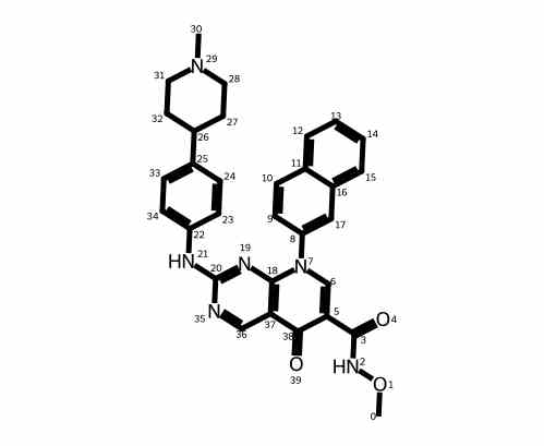 CONC(=O)c1cn(-c2ccc3ccccc3c2)c2nc(Nc3ccc(C4CCN(C)CC4)cc3)ncc2c1=O